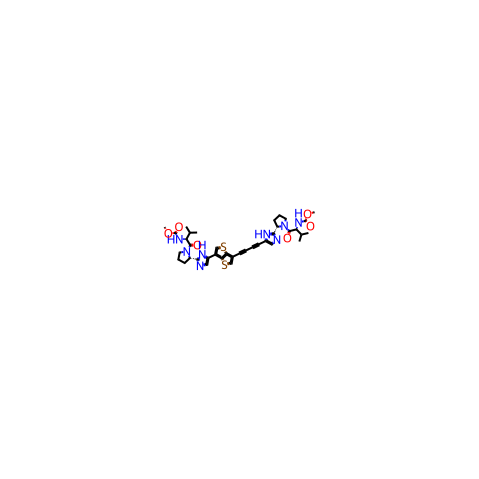 COC(=O)N[C@H](C(=O)N1CCC[C@H]1c1ncc(C#CC#Cc2csc3c(-c4cnc([C@@H]5CCCN5C(=O)[C@@H](NC(=O)OC)C(C)C)[nH]4)csc23)[nH]1)C(C)C